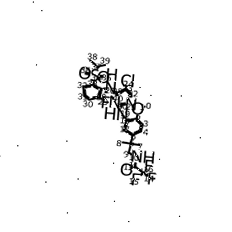 COc1ccc(C(C)(C)CNC(=O)C(F)(F)F)cc1Nc1ncc(Cl)c(Nc2c(F)cccc2S(=O)(=O)C(C)C)n1